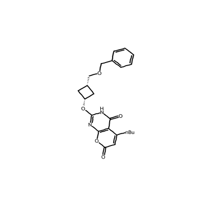 CCCCc1cc(=O)oc2nc(O[C@H]3C[C@@H](COCc4ccccc4)C3)[nH]c(=O)c12